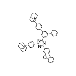 c1ccc(-c2cc(-c3ccc(C4C5CC6CC(C5)CC4C6)cc3)cc(-c3nc(-c4ccc(C56CC7CC(CC(C7)C5)C6)cc4)nc(-c4ccc5c(c4)oc4ccccc45)n3)c2)cc1